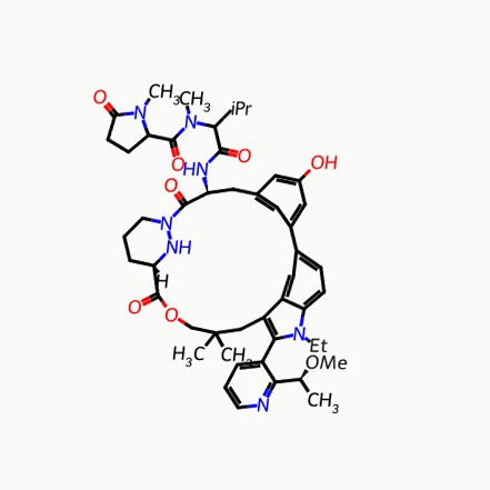 CCn1c(-c2cccnc2[C@H](C)OC)c2c3cc(ccc31)-c1cc(O)cc(c1)C[C@H](NC(=O)C(C(C)C)N(C)C(=O)C1CCC(=O)N1C)C(=O)N1CCC[C@H](N1)C(=O)OCC(C)(C)C2